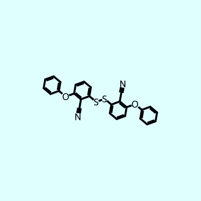 N#Cc1c(Oc2ccccc2)cccc1SSc1cccc(Oc2ccccc2)c1C#N